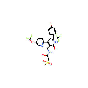 CS(=O)(=O)CC(=O)NCC1=C(c2ccc(OC(F)F)cn2)C[C@](c2ccc(Br)cc2)(C(F)(F)F)NC1=O